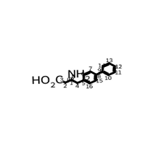 N[C@@H](CC(=O)O)Cc1ccc(-c2ccccc2)cc1